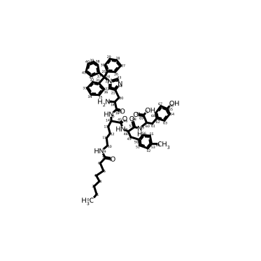 CCCCCCCC(=O)NCCCCC(NC(=O)C(N)Cc1cn(C(c2ccccc2)(c2ccccc2)c2ccccc2)cn1)C(=O)NC(Cc1ccc(C)cc1)C(=O)NC(Cc1ccc(O)cc1)C(=O)O